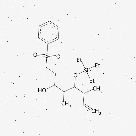 C=CC(C)C(O[Si](CC)(CC)CC)C(C)C(O)CCS(=O)(=O)c1ccccc1